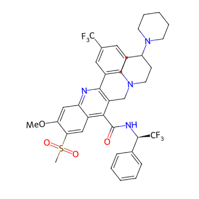 COc1cc2nc(-c3cccc(C(F)(F)F)c3)c(CN3CCC(N4CCCCC4)CC3)c(C(=O)N[C@H](c3ccccc3)C(F)(F)F)c2cc1S(C)(=O)=O